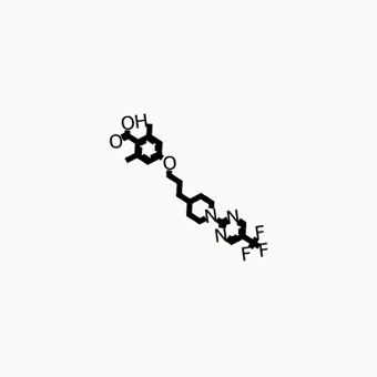 Cc1cc(OCCCC2CCN(c3ncc(C(F)(F)F)cn3)CC2)cc(C)c1C(=O)O